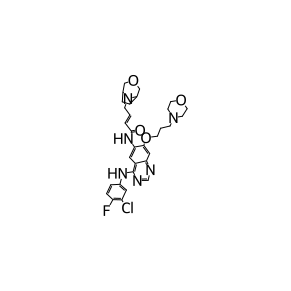 O=C(/C=C/CN1C2CCC1COC2)Nc1cc2c(Nc3ccc(F)c(Cl)c3)ncnc2cc1OCCCN1CCOCC1